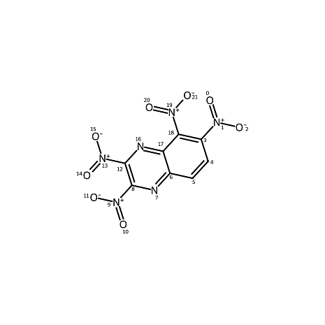 O=[N+]([O-])c1ccc2nc([N+](=O)[O-])c([N+](=O)[O-])nc2c1[N+](=O)[O-]